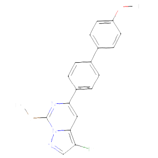 COc1ccc(-c2ccc(-c3cc4c(Br)cnn4c(SC)n3)cc2)cc1